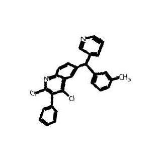 Cc1cccc(C(c2cccnc2)c2ccc3nc(Cl)c(-c4ccccc4)c(Cl)c3c2)c1